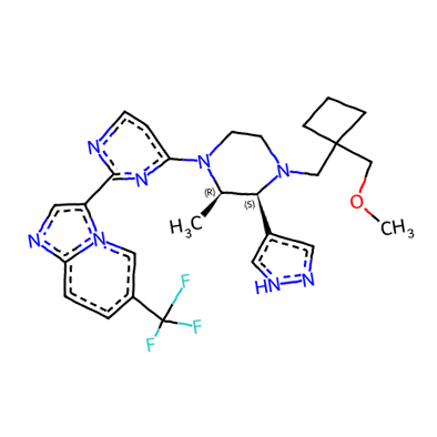 COCC1(CN2CCN(c3ccnc(-c4cnc5ccc(C(F)(F)F)cn45)n3)[C@H](C)[C@@H]2c2cn[nH]c2)CCC1